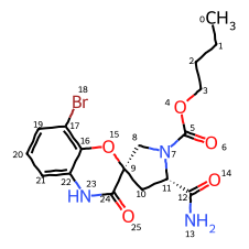 CCCCOC(=O)N1C[C@@]2(C[C@H]1C(N)=O)Oc1c(Br)cccc1NC2=O